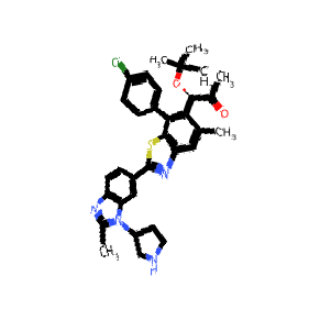 CC(=O)[C@@H](OC(C)(C)C)c1c(C)cc2nc(-c3ccc4nc(C)n(C5CCNC5)c4c3)sc2c1-c1ccc(Cl)cc1